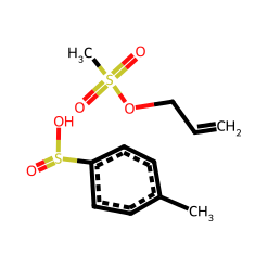 C=CCOS(C)(=O)=O.Cc1ccc(S(=O)O)cc1